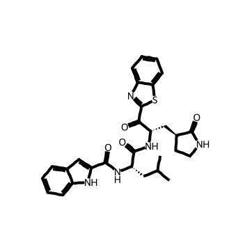 CC(C)C[C@H](NC(=O)c1cc2ccccc2[nH]1)C(=O)N[C@@H](C[C@@H]1CCNC1=O)C(=O)c1nc2ccccc2s1